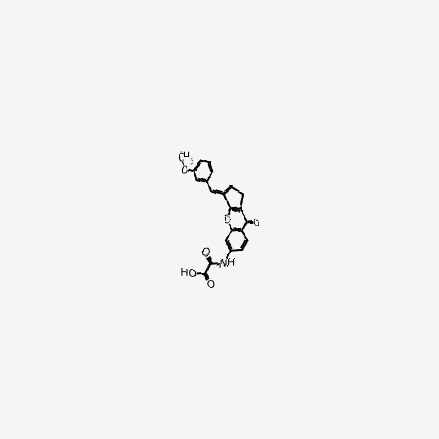 COc1cccc(C=C2CCc3c2oc2cc(NC(=O)C(=O)O)ccc2c3=O)c1